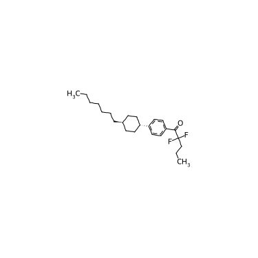 CCCCCCC[C@H]1CC[C@H](c2ccc(C(=O)C(F)(F)CCC)cc2)CC1